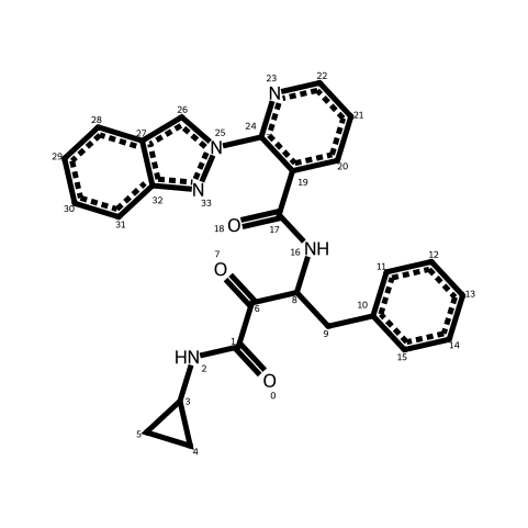 O=C(NC1CC1)C(=O)C(Cc1ccccc1)NC(=O)c1cccnc1-n1cc2ccccc2n1